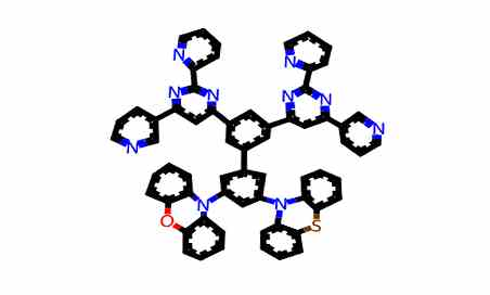 c1ccc(-c2nc(-c3cccnc3)cc(-c3cc(-c4cc(N5c6ccccc6Oc6ccccc65)cc(N5c6ccccc6Sc6ccccc65)c4)cc(-c4cc(-c5cccnc5)nc(-c5ccccn5)n4)c3)n2)nc1